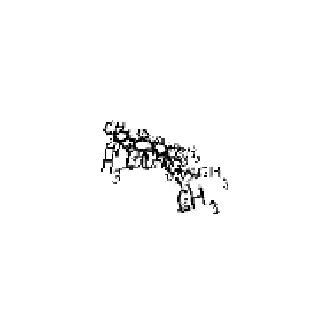 C=Cc1ccc2c3c([nH]c2c1)C(C)(C)c1cc(N2CCC(N(CCC)CCC)CC2)c(CC)cc1C3=O